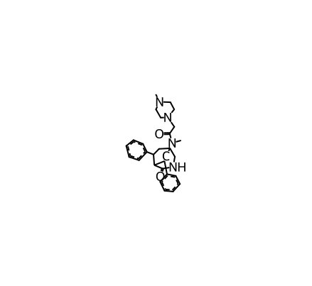 CN1CCN(CC(=O)N(C)C23CNC(=O)C(C(c4ccccc4)C2)C(c2ccccc2)C3)CC1